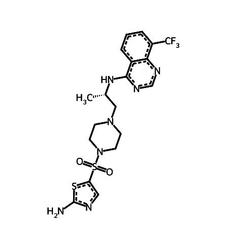 C[C@@H](CN1CCN(S(=O)(=O)c2cnc(N)s2)CC1)Nc1ncnc2c(C(F)(F)F)cccc12